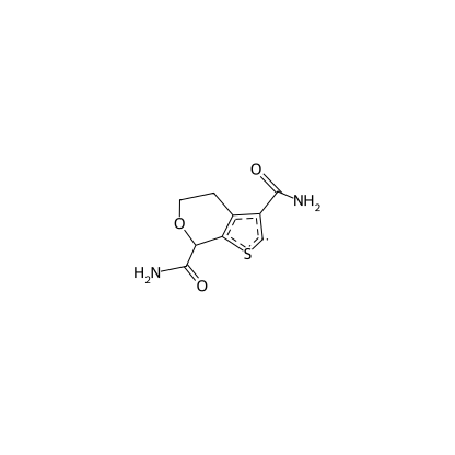 NC(=O)c1[c]sc2c1CCOC2C(N)=O